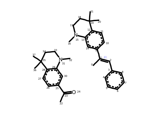 C/C(=C\c1ccccc1)c1ccc2c(c1)N(C)CCC2(C)C.CC(=O)c1ccc2c(c1)N(C)CCC2(C)C